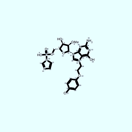 CO[C@@H]1[C@H](O)[C@@H](COP(=O)(O)n2ccnc2)O[C@H]1n1c[n+](CCOc2ccc(Cl)cc2)c2c(O)nc(N)nc21